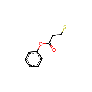 O=C(CC[S])Oc1ccccc1